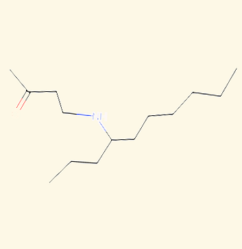 CCCCCCC(CCC)NCCC(C)=O